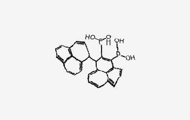 OP(O)C1=C(P(O)O)C(C2C=Cc3cccc4cccc2c34)c2cccc3cccc1c23